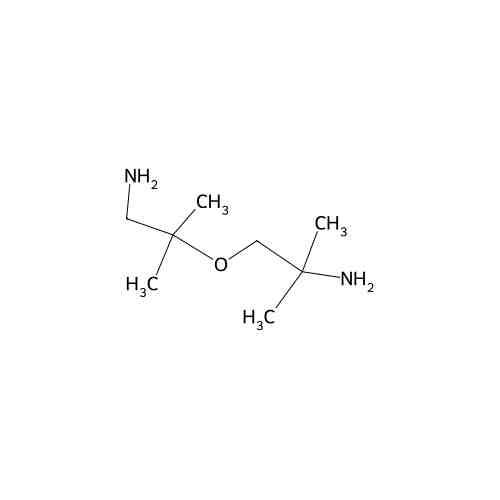 CC(C)(N)COC(C)(C)CN